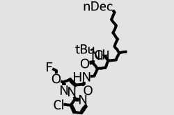 CCCCCCCCCCCCCCCCC(C)CC(Cl)CC(CNC(=O)c1cc(OCF)nn1-c1ncccc1Cl)C(=O)NC(C)(C)C